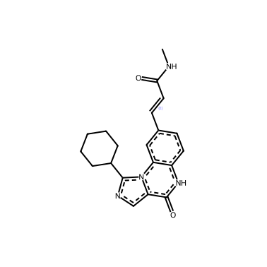 CNC(=O)/C=C/c1ccc2[nH]c(=O)c3cnc(C4CCCCC4)n3c2c1